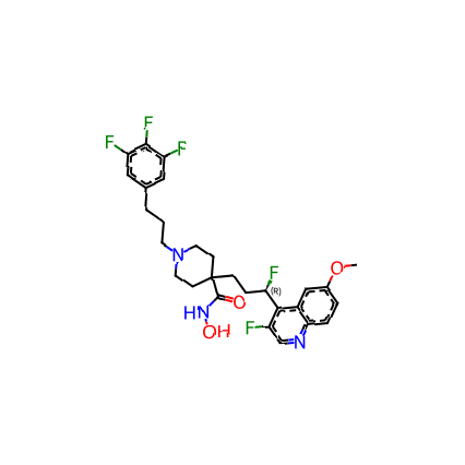 COc1ccc2ncc(F)c([C@H](F)CCC3(C(=O)NO)CCN(CCCc4cc(F)c(F)c(F)c4)CC3)c2c1